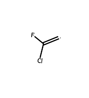 [CH]=C(F)Cl